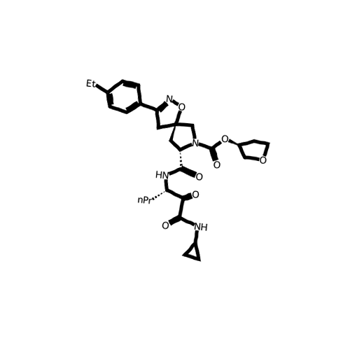 CCC[C@H](NC(=O)[C@@H]1C[C@]2(CC(c3ccc(CC)cc3)=NO2)CN1C(=O)O[C@H]1CCOC1)C(=O)C(=O)NC1CC1